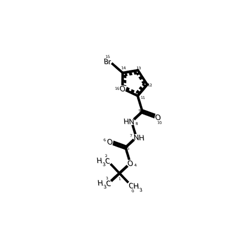 CC(C)(C)OC(=O)NNC(=O)c1ccc(Br)o1